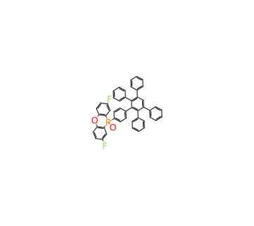 O=P1(c2ccc(-c3c(-c4ccccc4)c(-c4ccccc4)cc(-c4ccccc4)c3-c3ccccc3)cc2)c2cc(F)ccc2Oc2ccc(F)cc21